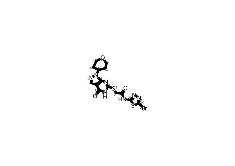 O=C(CSc1nc2c(cnn2C2CCOCC2)c(=O)[nH]1)Nc1nnc(Br)s1